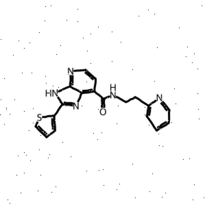 O=C(NCCc1ccccn1)c1ccnc2[nH]c(-c3cccs3)nc12